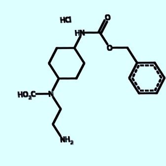 Cl.NCCN(C(=O)O)C1CCC(NC(=O)OCc2ccccc2)CC1